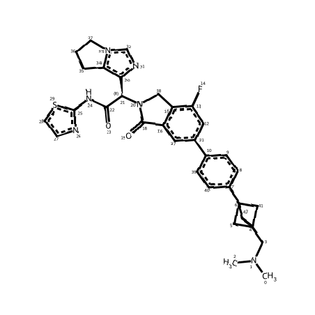 CN(C)CC12CC(c3ccc(-c4cc(F)c5c(c4)C(=O)N([C@@H](C(=O)Nc4nccs4)c4ncn6c4CCC6)C5)cc3)(C1)C2